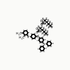 Cc1cccc([I+]c2ccc(Sc3ccc([S+](c4ccccc4)c4ccccc4)cc3)cc2)c1C.O=S(=O)([O-])C(F)(F)C(F)(F)C(F)(F)C(F)(F)F.O=S(=O)([O-])C(F)(F)C(F)(F)C(F)(F)C(F)(F)F